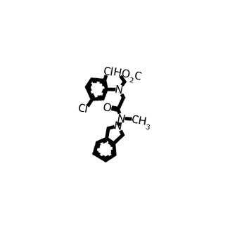 CN(C(=O)CN(CC(=O)O)c1cc(Cl)ccc1Cl)N1Cc2ccccc2C1